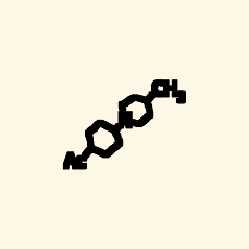 CC(=O)C1CCC(N2CCC(C)CC2)CC1